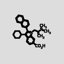 C=C(Cn1c(-c2ccc3ccccc3c2)c(C2CCCCC2)c2ccc(C(=O)O)cc21)N(C)C